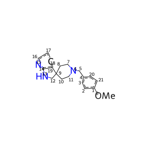 COc1ccc(CN2CCC3(CC2)CNc2ncccc23)cc1